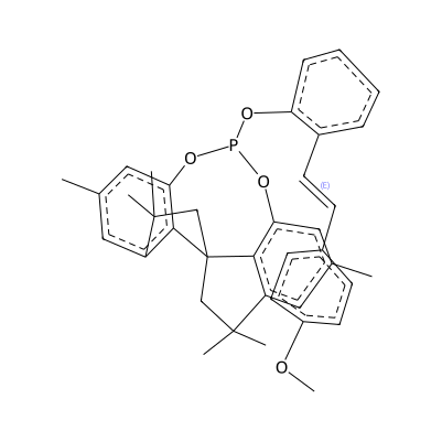 COc1ccc(/C=C/c2ccccc2OP2Oc3cc(C)cc4c3C3(CC4(C)C)CC(C)(C)c4cc(C)cc(c43)O2)cc1